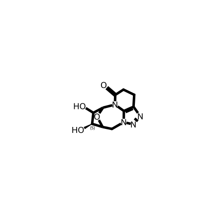 O=C1CCc2nnn3c2N1C1OC(C3)[C@@H](O)C1O